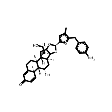 Cc1cc([C@@H]2O[C@@H]3C[C@H]4[C@@H]5CCC6=CC(=O)C=C[C@]6(C)[C@H]5[C@@H](O)C[C@]4(C)[C@]3(C(=O)CO)O2)sc1Cc1ccc(N)cc1